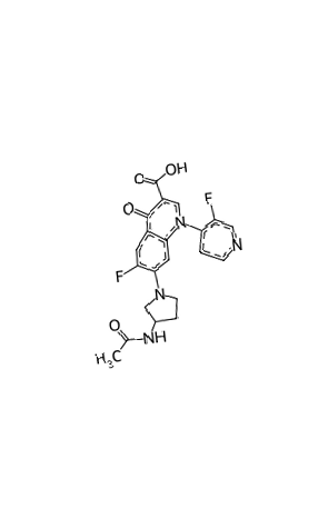 CC(=O)NC1CCN(c2cc3c(cc2F)c(=O)c(C(=O)O)cn3-c2ccncc2F)C1